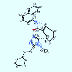 CCn1c(CCC2CCCCC2)nnc1[C@H]1CCCCC1C(=O)Nc1cccc2ccccc12